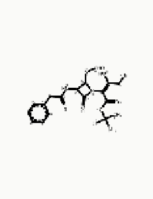 CCC(C)(C)OC(=O)C(=C(O)CBr)N1C(=O)C(NC(=O)Cc2ccccc2)C1SC=O